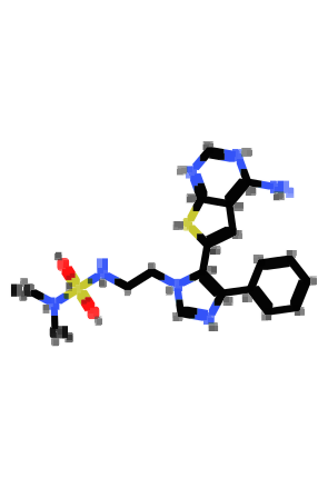 CN(C)S(=O)(=O)NCCn1cnc(-c2ccccc2)c1-c1cc2c(N)ncnc2s1